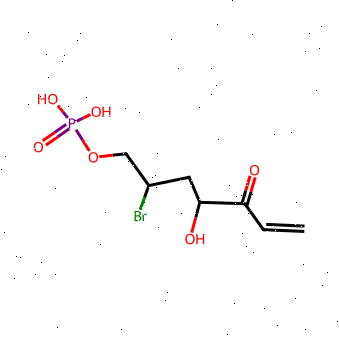 C=CC(=O)C(O)CC(Br)COP(=O)(O)O